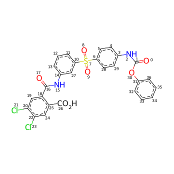 O=C(Nc1ccc(S(=O)(=O)c2cccc(NC(=O)c3cc(Cl)c(Cl)cc3C(=O)O)c2)cc1)Oc1ccccc1